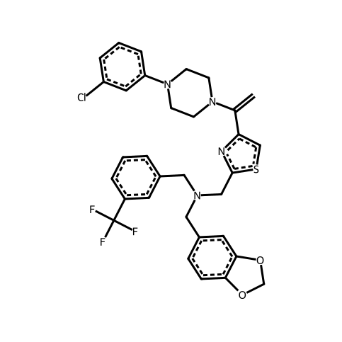 C=C(c1csc(CN(Cc2cccc(C(F)(F)F)c2)Cc2ccc3c(c2)OCO3)n1)N1CCN(c2cccc(Cl)c2)CC1